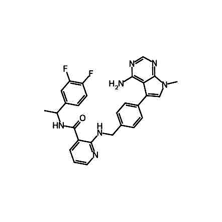 CC(NC(=O)c1cccnc1NCc1ccc(-c2cn(C)c3ncnc(N)c23)cc1)c1ccc(F)c(F)c1